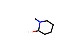 CN1CCCCC1O